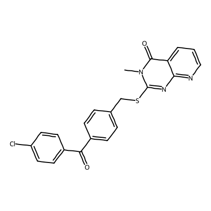 Cn1c(SCc2ccc(C(=O)c3ccc(Cl)cc3)cc2)nc2ncccc2c1=O